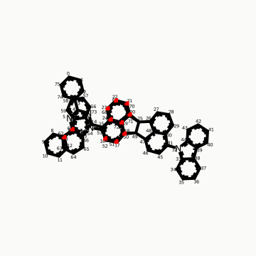 c1ccc(-c2nc(-c3ccccc3)nc(-c3ccc4c5c(cccc35)C35c6cccc7c(-n8c9ccccc9c9ccccc98)ccc(c67)C43c3ccc(-n4c6ccccc6c6ccccc64)c4cccc5c34)n2)cc1